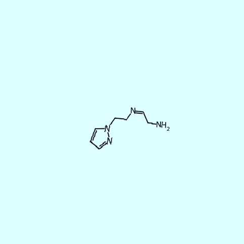 NC/C=N\CCn1cccn1